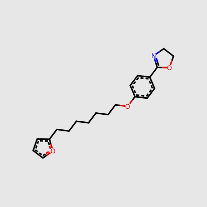 c1coc(CCCCCCCOc2ccc(C3=NCCO3)cc2)c1